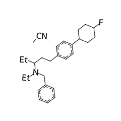 CC#N.CCC(CCc1ccc(C2CCC(F)CC2)cc1)N(CC)Cc1ccccc1